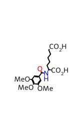 COc1cc(C(=O)NC(CCCCCC(=O)O)C(=O)O)cc(OC)c1OC